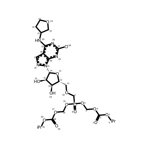 CC(C)OC(=O)OCOP(=O)(COC[C@H]1O[C@@H](n2ncc3c(NC4CCOC4)nc(Cl)nc32)[C@H](O)[C@@H]1O)OCOC(=O)OC(C)C